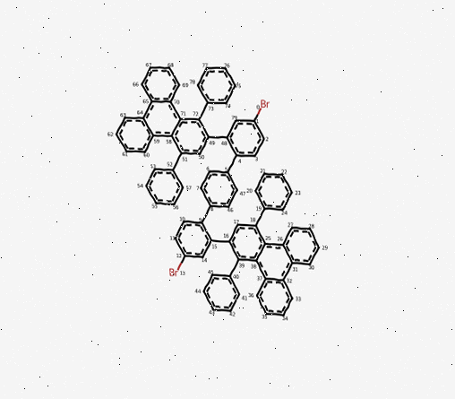 Brc1ccc(-c2ccc(-c3ccc(Br)cc3-c3cc(-c4ccccc4)c4c5ccccc5c5ccccc5c4c3-c3ccccc3)cc2)c(-c2cc(-c3ccccc3)c3c4ccccc4c4ccccc4c3c2-c2ccccc2)c1